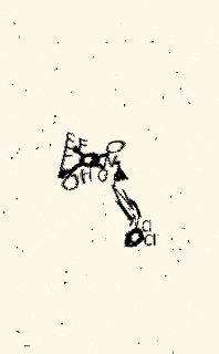 CC(O)C1C2CC(C3C(=O)N(C[C@H]4C[C@@H]4CN4CCN(c5cccc(Cl)c5Cl)CC4)C(=O)C23)C1C(F)(F)F